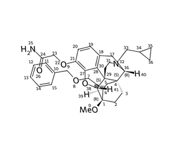 CO[C@]12CC[C@@]3(C[C@@H]1COCc1ccccc1)[C@H]1Cc4ccc(OCC(N)=O)c5c4[C@@]3(CCN1CC1CC1)[C@H]2O5